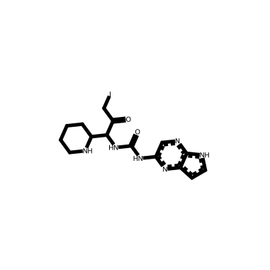 O=C(Nc1cnc2[nH]ccc2n1)NC(C(=O)CI)C1CCCCN1